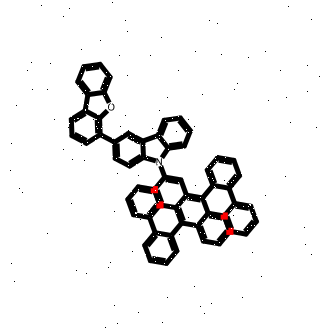 c1ccc(-c2ccccc2-c2c3ccccc3c(-c3ccccc3-c3ccccc3)c3cc(-n4c5ccccc5c5cc(-c6cccc7c6oc6ccccc67)ccc54)ccc23)cc1